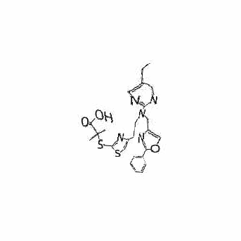 CCc1cnc(N(CCc2csc(SC(C)(C)C(=O)O)n2)Cc2coc(-c3ccccc3)n2)nc1